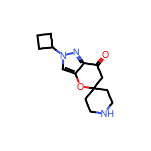 O=C1CC2(CCNCC2)Oc2cn(C3CCC3)nc21